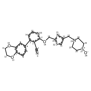 N#Cc1c(-c2ccc3c(c2)OCCO3)ccnc1OCc1nc(CN2CC[S+]([O-])CC2)cs1